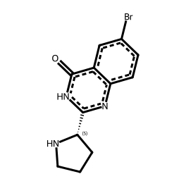 O=c1[nH]c([C@@H]2CCCN2)nc2ccc(Br)cc12